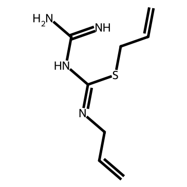 C=CCN=C(NC(=N)N)SCC=C